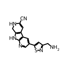 N#CC1=Cc2c([nH]c3ncc(-c4cc(CN)ns4)cc23)CN1